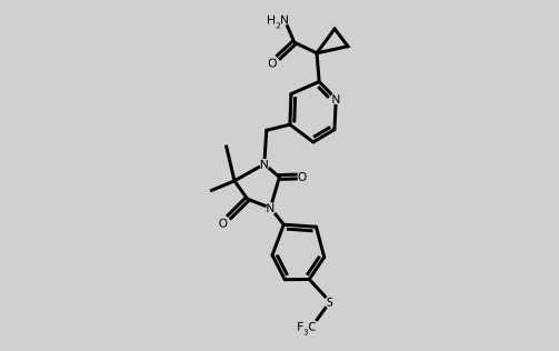 CC1(C)C(=O)N(c2ccc(SC(F)(F)F)cc2)C(=O)N1Cc1ccnc(C2(C(N)=O)CC2)c1